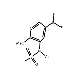 COc1ncc(B(F)F)cc1N(C(C)=O)S(C)(=O)=O